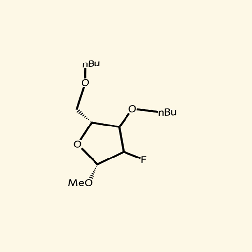 CCCCOC[C@H]1O[C@@H](OC)C(F)C1OCCCC